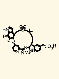 CN/C1=N\C(=N)C(c2cccc(CC(=O)O)c2)CCCC(C)(C)CS(=O)(=O)CCc2c(c(F)c(F)c3[nH]ccc23)Oc2ccnc1c2